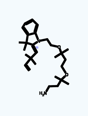 C=CC(C)(C)/C=C1/N(CCOC(C)(C)CCOC(C)(C)CCN)c2ccccc2C1(C)C